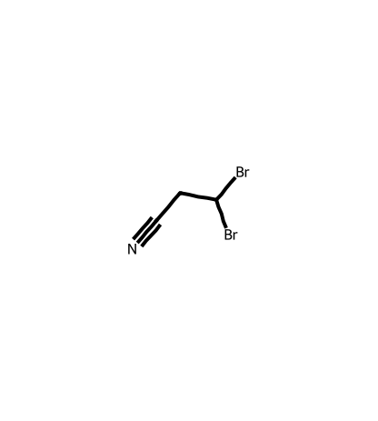 N#CCC(Br)Br